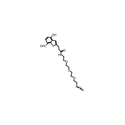 [N-]=[N+]=NCCOCCOCCOCCNC(=O)CCc1cc2c(O)ccc(C=O)c2s1